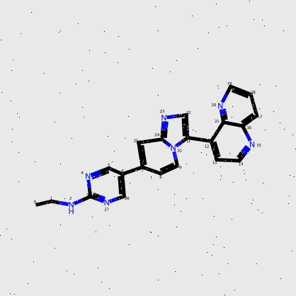 CCNc1ncc(-c2ccn3c(-c4ccnc5cccnc45)cnc3c2)cn1